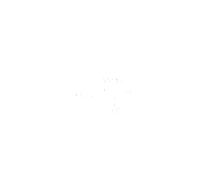 CCOC(=O)C(C(=O)OCC)C(=O)C(F)(F)F